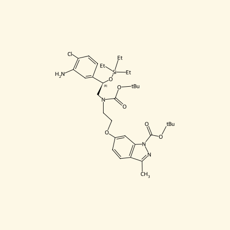 CC[Si](CC)(CC)O[C@@H](CN(CCOc1ccc2c(C)nn(C(=O)OC(C)(C)C)c2c1)C(=O)OC(C)(C)C)c1ccc(Cl)c(N)c1